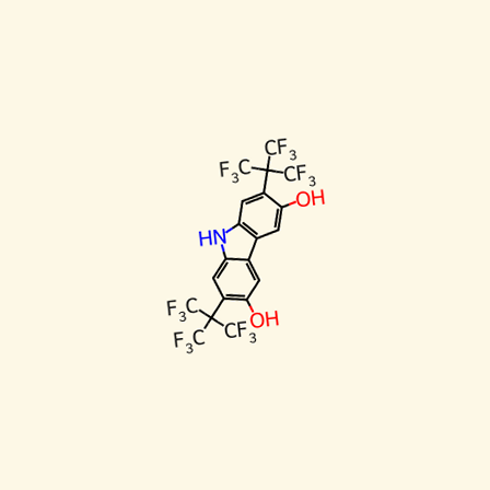 Oc1cc2c(cc1C(C(F)(F)F)(C(F)(F)F)C(F)(F)F)[nH]c1cc(C(C(F)(F)F)(C(F)(F)F)C(F)(F)F)c(O)cc12